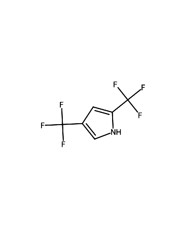 FC(F)(F)c1c[nH]c(C(F)(F)F)c1